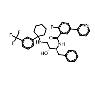 O=C(N[C@@H](Cc1ccccc1)[C@H](O)CNC1(c2cccc(C(F)(F)F)c2)CCCCC1)c1cc(-c2cccnc2)ccc1F